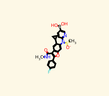 CNC(=O)c1c(-c2ccc(F)cc2)oc2cc(N(c3ccc(B(O)O)cn3)[S+](C)[O-])c(C3CC3)cc12